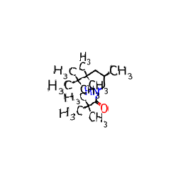 CC(CNC(=O)C(C)(C)C)CC(C)(C)C(C)(C)C